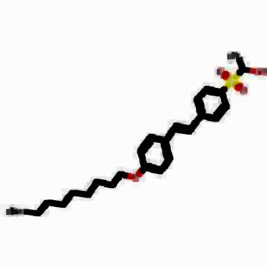 CCCCCCCCCCCCCCCCCCOc1ccc(C=Cc2ccc(S(=O)(=O)C(O)CCC)cc2)cc1